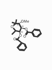 CO[C@@H]1[C@@H](OC(=O)c2ccccc2)[C@@H](OC(=O)c2ccccc2)C(C)OC1(C)C